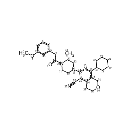 COc1cccc(CC(=O)N2CCN(c3nc(C4CCCCC4)c4c(c3C#N)CCOC4)C[C@H]2C)c1